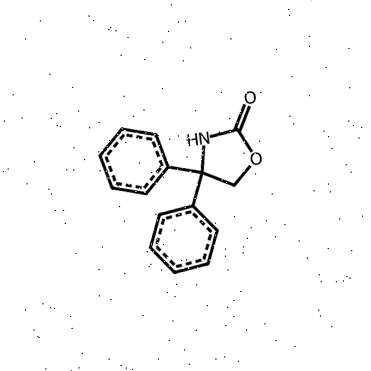 O=C1NC(c2ccccc2)(c2ccccc2)CO1